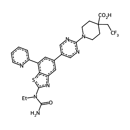 CCN(C(N)=O)c1nc2cc(-c3cnc(N4CCC(CC(F)(F)F)(C(=O)O)CC4)nc3)cc(-c3ccccn3)c2s1